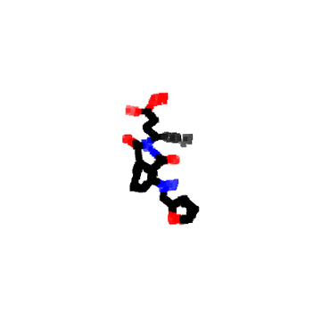 O=C(O)C(CCC(O)O)N1C(=O)c2cccc(NCc3ccco3)c2C1=O